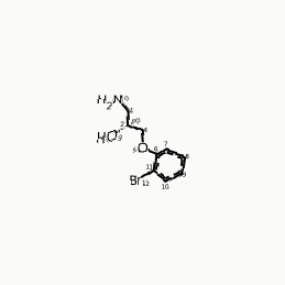 NC[C@@H](O)COc1ccccc1Br